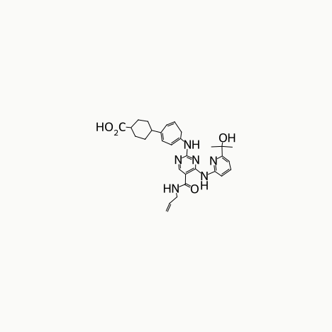 C=CCNC(=O)c1cnc(NC2=CC=C(C3CCC(C(=O)O)CC3)C=CC2)nc1Nc1cccc(C(C)(C)O)n1